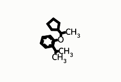 CC(C)c1ccccc1OC(C)C1CCCC1